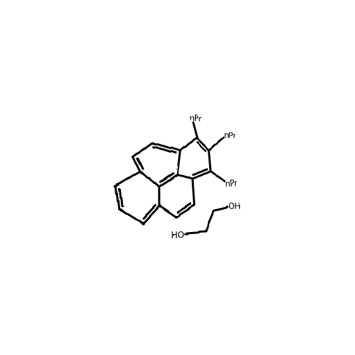 CCCc1c(CCC)c2ccc3cccc4ccc(c1CCC)c2c34.OCCO